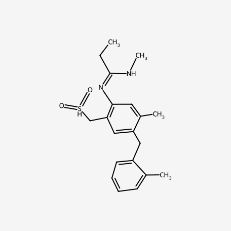 CCC(=Nc1cc(C)c(Cc2ccccc2C)cc1C[SH](=O)=O)NC